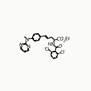 CCOC(=O)[C@H](CC=Cc1ccc(N(C)c2ncccn2)cc1)NC(=O)c1c(Cl)cccc1Cl